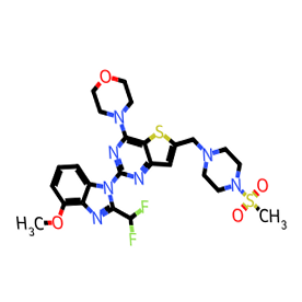 COc1cccc2c1nc(C(F)F)n2-c1nc(N2CCOCC2)c2sc(CN3CCN(S(C)(=O)=O)CC3)cc2n1